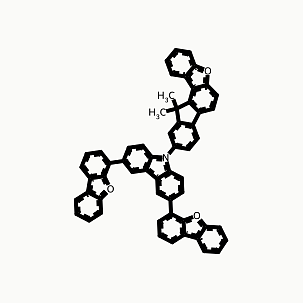 CC1(C)c2cc(-n3c4ccc(-c5cccc6c5oc5ccccc56)cc4c4cc(-c5cccc6c5oc5ccccc56)ccc43)ccc2-c2ccc3oc4ccccc4c3c21